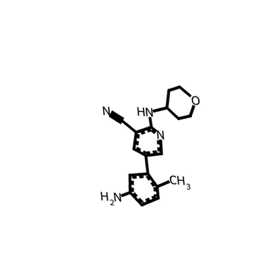 Cc1ccc(N)cc1-c1cnc(NC2CCOCC2)c(C#N)c1